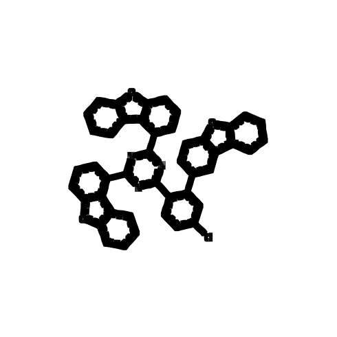 Clc1ccc(-c2nc(-c3cccc4oc5ccccc5c34)nc(-c3cccc4oc5ccccc5c34)n2)c(-c2ccc3oc4ccccc4c3c2)c1